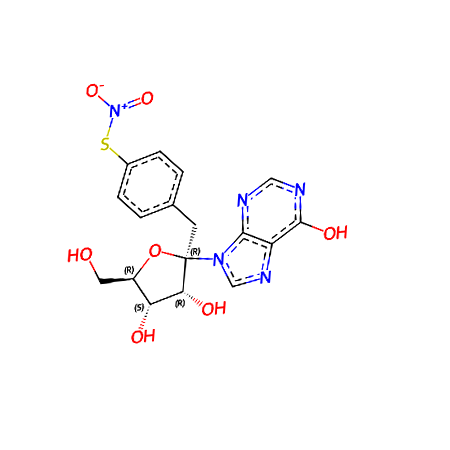 O=[N+]([O-])Sc1ccc(C[C@@]2(n3cnc4c(O)ncnc43)O[C@H](CO)[C@@H](O)[C@H]2O)cc1